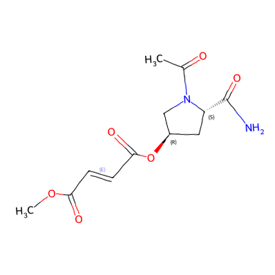 COC(=O)/C=C/C(=O)O[C@@H]1C[C@@H](C(N)=O)N(C(C)=O)C1